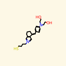 OCCN(CCO)c1ccc(/C=C2\CCCc3c[n+](CCCCS)ccc32)cc1